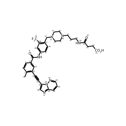 Cc1ccc(C(=O)Nc2ccc(CN3CCN(CCCNC(=O)CCC(=O)O)CC3)c(C(F)(F)F)c2)cc1C#Cc1cnc2cccnn12